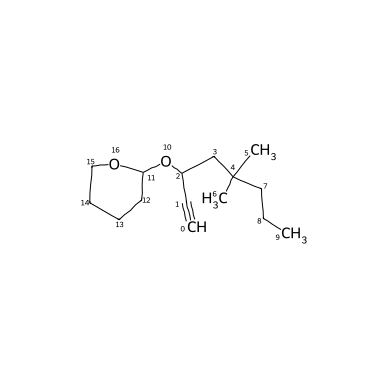 C#CC(CC(C)(C)CCC)OC1CCCCO1